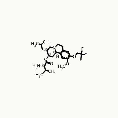 COc1cc2c(cc1OCC(F)(F)F)CCN1C[C@@H](CC(C)C)[C@H](OC(=O)[C@@H](N)C(C)C)C[C@H]21